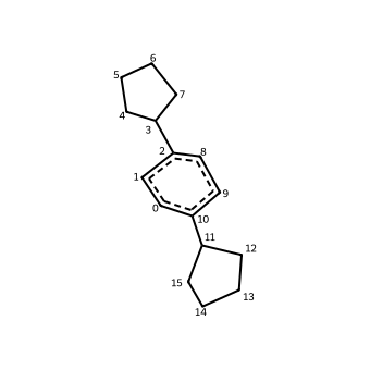 c1cc(C2CCCC2)ccc1C1CCCC1